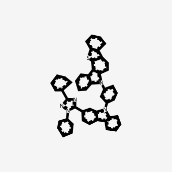 c1ccc(-c2nc(-c3ccc4c5ccccc5n(-c5cccc(-n6c7ccccc7c7c8sc9ccccc9c8ccc76)c5)c4c3)n(-c3ccccc3)n2)cc1